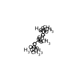 CO[Si](CCc1ccc2c(c1)C(=O)N(C(C)(C)C)C2=O)(CCc1ccc2c(c1)C(=O)N(C(C)(C)C)C2=O)OC